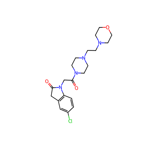 O=C(CN1C(=O)Cc2cc(Cl)ccc21)N1CCN(CCN2CCOCC2)CC1